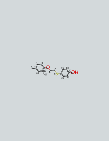 Cc1ccc(OCCSc2ccc(O)cc2)c(C)c1